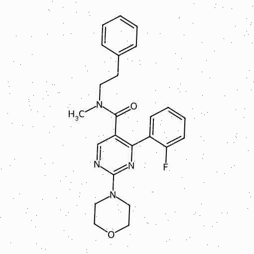 CN(CCc1ccccc1)C(=O)c1cnc(N2CCOCC2)nc1-c1ccccc1F